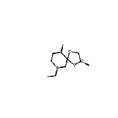 CCN1CCC(C)C2(C1)OC[C@@H](C)S2